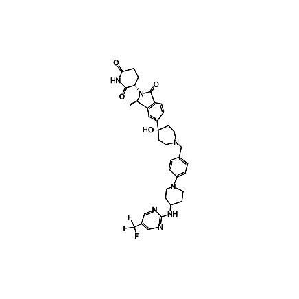 C[C@@H]1c2cc(C3(O)CCN(Cc4ccc(N5CCC(Nc6ncc(C(F)(F)F)cn6)CC5)cc4)CC3)ccc2C(=O)N1[C@H]1CCC(=O)NC1=O